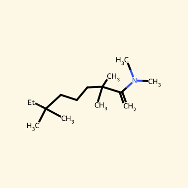 C=C(N(C)C)C(C)(C)CCCC(C)(C)CC